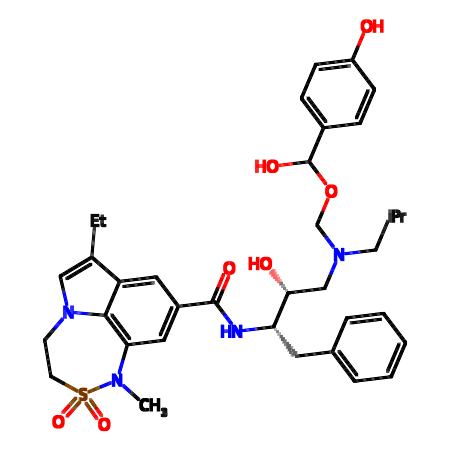 CCc1cn2c3c(cc(C(=O)N[C@@H](Cc4ccccc4)[C@H](O)CN(COC(O)c4ccc(O)cc4)CC(C)C)cc13)N(C)S(=O)(=O)CC2